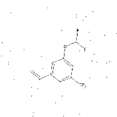 C=[C]c1cc(OC(F)F)cc(C(F)(F)F)c1